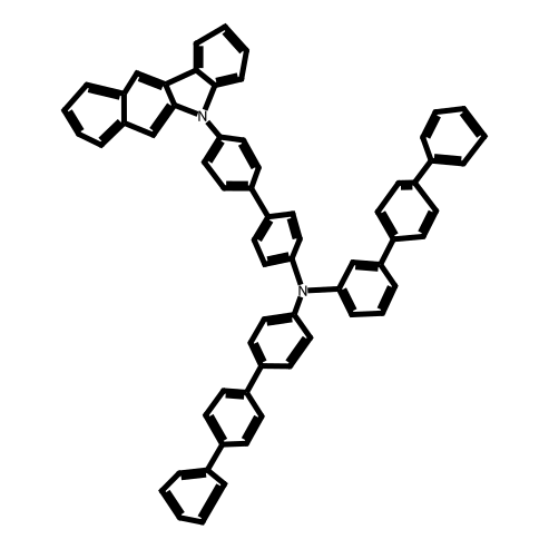 c1ccc(-c2ccc(-c3ccc(N(c4ccc(-c5ccc(-n6c7ccccc7c7cc8ccccc8cc76)cc5)cc4)c4cccc(-c5ccc(-c6ccccc6)cc5)c4)cc3)cc2)cc1